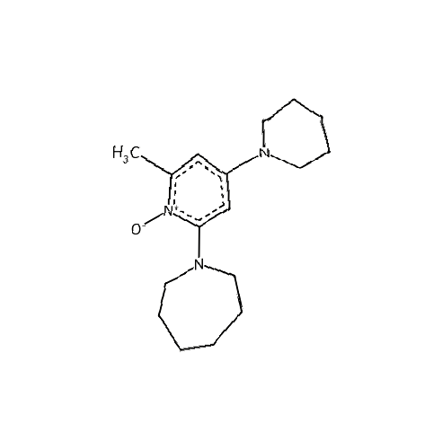 Cc1cc(N2CCCCC2)cc(N2CCCCCC2)[n+]1[O-]